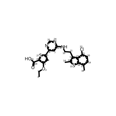 CCOc1cc(-c2cc(NCCc3c(C)sc4c(C)ccc(Cl)c34)ncn2)sc1C(=O)O